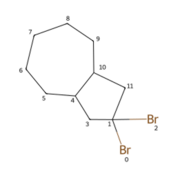 BrC1(Br)CC2CCCCCC2C1